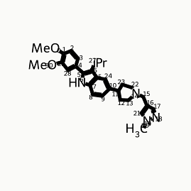 COc1ccc(-c2[nH]c3ccc(C4CCN(Cc5cnn(C)c5)CC4)cc3c2C(C)C)cc1OC